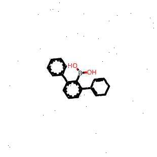 OB(O)c1c(C2=CCCC=C2)cccc1-c1ccccc1